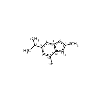 Cc1cn2cc(C(C)C)cc(F)c2n1